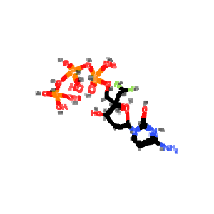 Nc1ccn(C2=C[C@H](O)[C@](COP(=O)(O)OP(=O)(O)OP(=O)(O)O)(C(F)F)O2)c(=O)n1